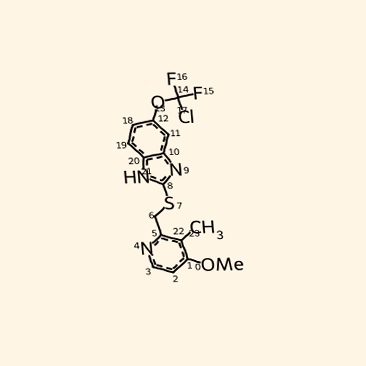 COc1ccnc(CSc2nc3cc(OC(F)(F)Cl)ccc3[nH]2)c1C